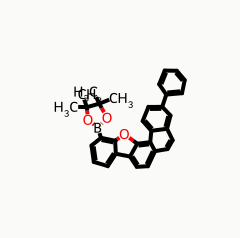 CC1(C)OB(c2cccc3c2oc2c3ccc3ccc4cc(-c5ccccc5)ccc4c32)OC1(C)C